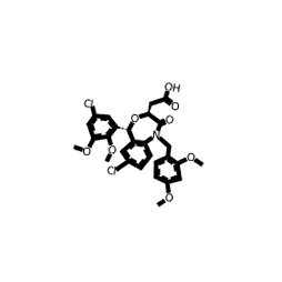 COc1ccc(CN2C(=O)[C@H](CC(=O)O)O[C@@H](c3cc(Cl)cc(OC)c3OC)c3cc(Cl)ccc32)c(OC)c1